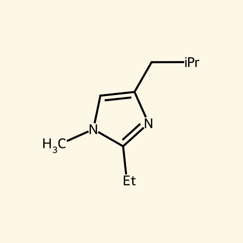 CCc1nc(CC(C)C)cn1C